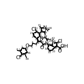 Cc1cc(OCCCc2c3n(c4c(-c5c(C)nn(C)c5C)c(Cl)ccc24)C[C@@H](C)N(c2cccc4c(C(=O)O)c(Cl)n(C)c24)C3=O)cc(C)c1Cl